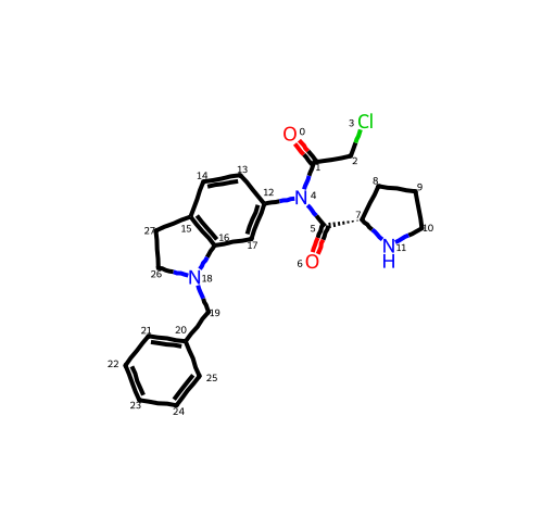 O=C(CCl)N(C(=O)[C@@H]1CCCN1)c1ccc2c(c1)N(Cc1ccccc1)CC2